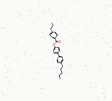 CCCCCc1ccc(-c2ccc(OC(=O)c3ccc(CCC)cc3)cc2)cc1